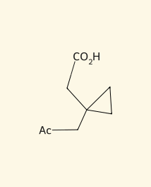 CC(=O)CC1(CC(=O)O)CC1